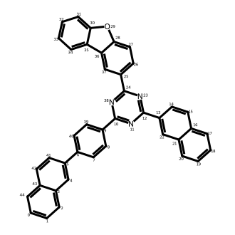 c1ccc2cc(-c3ccc(-c4nc(-c5ccc6ccccc6c5)nc(-c5ccc6oc7ccccc7c6c5)n4)cc3)ccc2c1